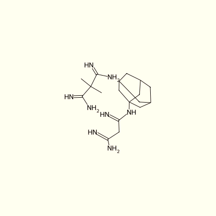 CC(C)(C(=N)N)C(=N)N.N=C(N)CC(=N)NC12CC3CC(CC(C3)C1)C2